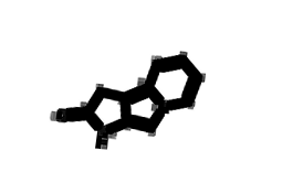 O=C1Cc2c(cn3ccccc23)N1